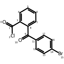 O=C(Cl)c1ccccc1C(=O)c1ccc(Br)cc1